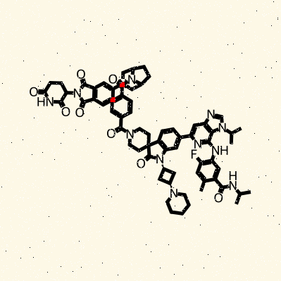 Cc1cc(F)c(Nc2nc(-c3ccc4c(c3)N([C@H]3C[C@@H](N5CCCCC5)C3)C(=O)C43CCN(C(=O)c4ccc(C(=O)N5C6CCC5CN(c5ccc7c(c5)C(=O)N(C5CCC(=O)NC5=O)C7=O)C6)cc4)CC3)cc3ncn(C(C)C)c23)cc1C(=O)NC(C)C